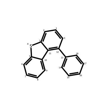 [c]1ccc2sc3ccccc3c2c1-c1ccccc1